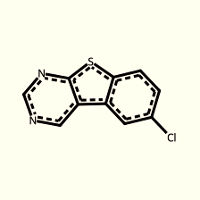 Clc1ccc2sc3ncncc3c2c1